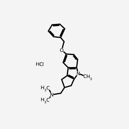 CN(C)CC1Cc2c(n(C)c3ccc(OCc4ccccc4)cc23)C1.Cl